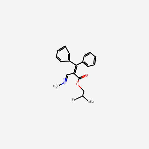 CCCCC(CC)COC(=O)C(/C=N/C)=C(c1ccccc1)c1ccccc1